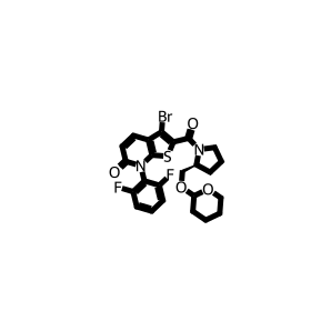 O=C(c1sc2c(ccc(=O)n2-c2c(F)cccc2F)c1Br)N1CCC[C@H]1COC1CCCCO1